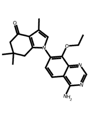 CCOc1c(-n2cc(C)c3c2CC(C)(C)CC3=O)ccc2c(N)ncnc12